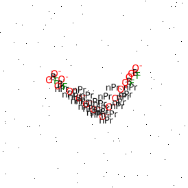 CCC[O+](CCC)CCC.CCC[O+](CCC)CCC.CCC[O+](CCC)CCC.CCC[O+](CCC)CCC.CCC[O+](CCC)CCC.CCC[O+](CCC)CCC.CCC[O+](CCC)CCC.CCC[O+](CCC)CCC.[O-]B([O-])F.[O-]B([O-])F.[O-]B([O-])F.[O-]B([O-])F